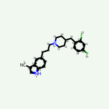 N#Cc1c[nH]c2ccc(CCCN3CCC(Cc4ccc(F)cc4F)CC3)cc12